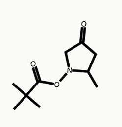 CC1CC(=O)CN1OC(=O)C(C)(C)C